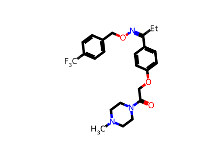 CCC(=NOCc1ccc(C(F)(F)F)cc1)c1ccc(OCC(=O)N2CCN(C)CC2)cc1